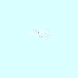 N#Cc1cc(-n2ncc(C(=O)Nc3ccnc(C(F)(F)F)c3)c2C(F)(F)F)c2cccc3c(=C=O)[nH]c1c23